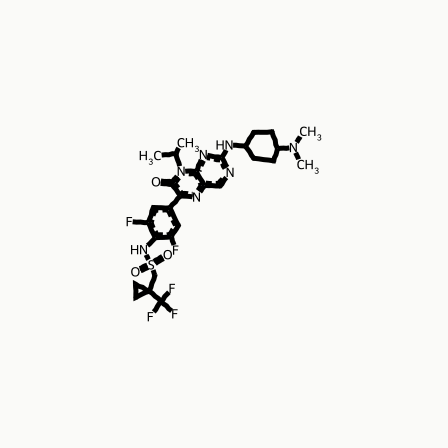 CC(C)n1c(=O)c(-c2cc(F)c(NS(=O)(=O)CC3(C(F)(F)F)CC3)c(F)c2)nc2cnc(NC3CCC(N(C)C)CC3)nc21